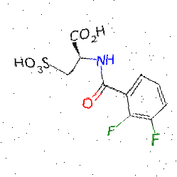 O=C(N[C@@H](CS(=O)(=O)O)C(=O)O)c1cccc(F)c1F